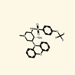 CN1C[C@@H](NS(=O)(=O)c2ccc(OC(F)(F)F)cc2)[C@H](O)[C@@H](N2c3ccccc3Oc3ccccc32)C1